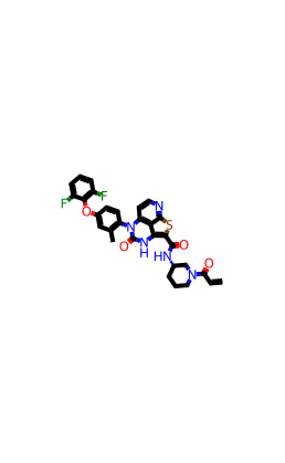 C=CC(=O)N1CCC[C@@H](NC(=O)c2sc3nccc4c3c2NC(=O)N4c2ccc(Oc3c(F)cccc3F)cc2C)C1